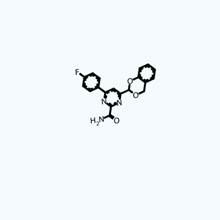 NC(=O)c1nc(-c2ccc(F)cc2)cc(C2OCc3ccccc3O2)n1